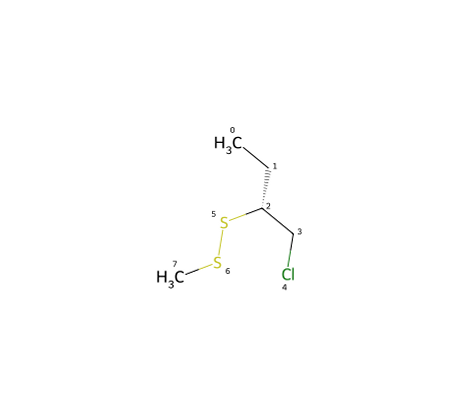 CC[C@H](CCl)SSC